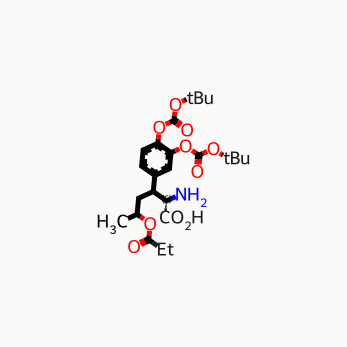 CCC(=O)OC(C)CC(c1ccc(OC(=O)OC(C)(C)C)c(OC(=O)OC(C)(C)C)c1)[C@H](N)C(=O)O